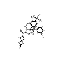 CC1CC2(C1)CC(C(=O)N1CCC3(S(=O)(=O)c4cccc(F)c4)c4ccc(C(F)(C(F)(F)F)C(F)(F)F)cc4CCC13)C2